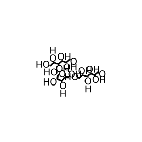 O=CC(O)C(O)C(O)C(O)CO.O=CC(O)C(O)C(O)C(O)CO.OCC1OC(O)C(O)C1O